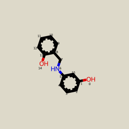 Oc1cccc(NCc2ccccc2O)c1